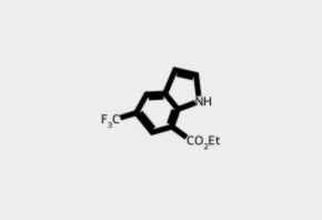 CCOC(=O)c1cc(C(F)(F)F)cc2cc[nH]c12